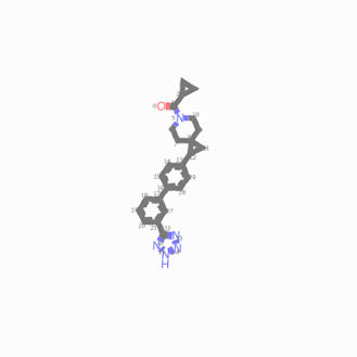 O=C(C1CC1)N1CCC2(CC1)CC2c1ccc(-c2cccc(-c3nn[nH]n3)c2)cc1